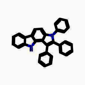 c1ccc(-c2c(-c3ccccc3)n(-c3ccccc3)c3ccc4c5ccccc5[nH]c4c23)cc1